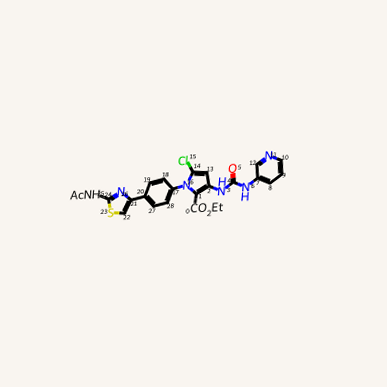 CCOC(=O)c1c(NC(=O)Nc2cccnc2)cc(Cl)n1-c1ccc(-c2csc(NC(C)=O)n2)cc1